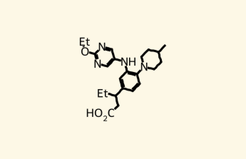 CCOc1ncc(Nc2cc(C(CC)CC(=O)O)ccc2N2CCC(C)CC2)cn1